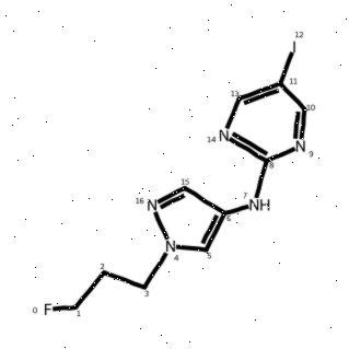 FCCCn1cc(Nc2ncc(I)cn2)cn1